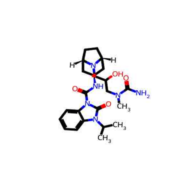 CC(C)n1c(=O)n(C(=O)N[C@@H]2C[C@H]3CC[C@@H](C2)N3CC(O)CN(C)C(N)=O)c2ccccc21